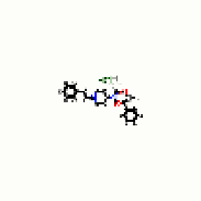 CC(=O)N(OC(C)c1ccccc1)C1CCN(CCc2ccccc2)CC1.Cl